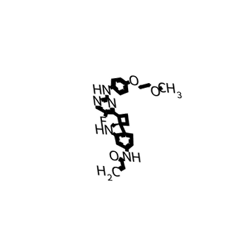 C=CC(=O)Nc1ccc2c(c1)NC[C@@]21CCC1c1nc(Nc2ccc(OCCOC)cc2)ncc1F